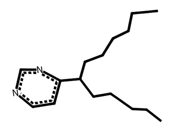 CCCCCCC(CCCCC)c1ccncn1